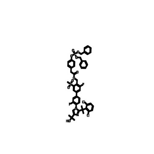 CC(C)(O)c1cn(-c2ccc(-c3cc(F)c(COC(=O)Cc4ccc(OP(=O)(OCc5ccccc5)OCc5ccccc5)cc4)c(S(C)(=O)=O)c3)cc2F)c(C(C)(C)c2c(Cl)cccc2Cl)n1